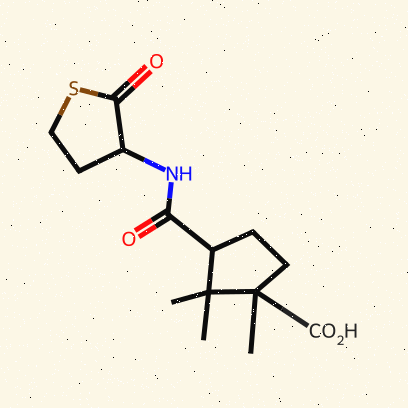 CC1(C(=O)O)CCC(C(=O)NC2CCSC2=O)C1(C)C